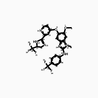 COc1cc2c(cc1Oc1ccnc(C3=NCC(C(F)(F)F)N3)c1)nc(Nc1ccc(C(F)(F)F)cc1)n2C